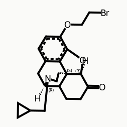 O=C1CCC2[C@H]3Cc4ccc(OCCBr)c5c4[C@@]2(CCN3CC2CC2)[C@H]1O5